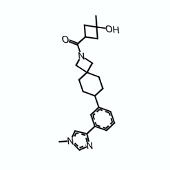 Cn1cnc(-c2cccc(C3CCC4(CC3)CN(C(=O)C3CC(C)(O)C3)C4)c2)c1